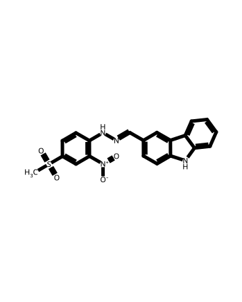 CS(=O)(=O)c1ccc(N/N=C/c2ccc3[nH]c4ccccc4c3c2)c([N+](=O)[O-])c1